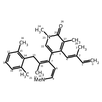 C=C/C(C)=C/c1c(C(/C=C\NC)=C(/C)Cc2c(C)cccc2C)cn(C)c(=O)c1C